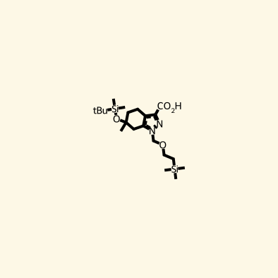 CC1(O[Si](C)(C)C(C)(C)C)CCc2c(C(=O)O)nn(COCC[Si](C)(C)C)c2C1